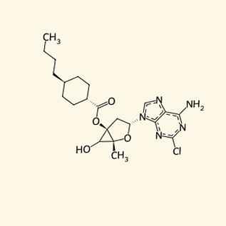 CCCC[C@H]1CC[C@H](C(=O)O[C@@]23C[C@H](n4cnc5c(N)nc(Cl)nc54)O[C@]2(C)C3O)CC1